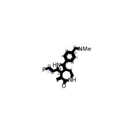 C=C1C(=O)NCCC2=C(c3ccc(CNC)cc3)NC(/C=C/F)C12